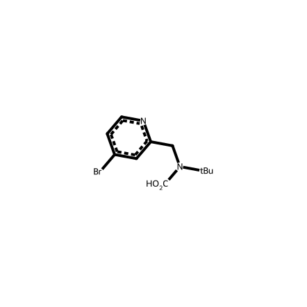 CC(C)(C)N(Cc1cc(Br)ccn1)C(=O)O